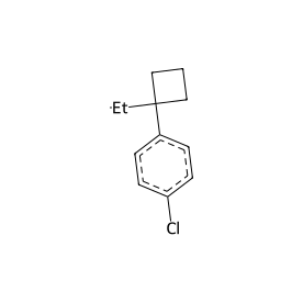 C[CH]C1(c2ccc(Cl)cc2)CCC1